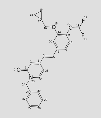 O=c1cc(/C=C/c2ccc(OC(F)F)c(OCC3CC3)c2)ccn1Cc1ccccc1